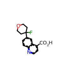 O=C(O)c1ccnc2ccc(C3(F)CCOCC3)cc12